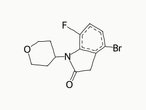 O=C1Cc2c(Br)ccc(F)c2N1C1CCOCC1